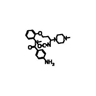 CN1CCN(C(CCOc2ccccc2N(C)C(=O)c2ccc(N)cc2)N=C=O)CC1